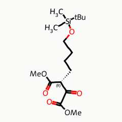 COC(=O)C(=O)[C@@H](CCCCO[Si](C)(C)C(C)(C)C)C(=O)OC